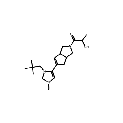 CC(O)C(=O)N1CC2C=C(C3=CN(C)CN3CC(C)(C)C)CC2C1